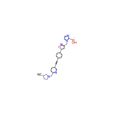 C[C@H](O)c1nccn1Cc1cc(-c2ccc(C#Cc3ccc(CN4CCC(C#N)C4)nc3)cc2)on1